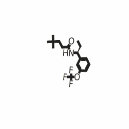 CC[C@H](NC(=O)CCC(C)(C)C)c1cccc(OC(F)(F)F)c1